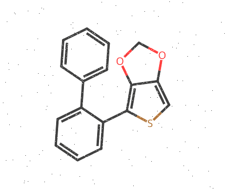 c1ccc(-c2ccccc2-c2scc3c2OCO3)cc1